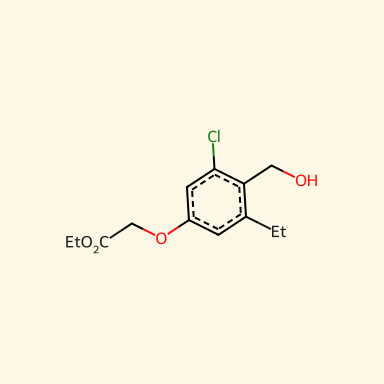 CCOC(=O)COc1cc(Cl)c(CO)c(CC)c1